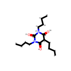 CCCCC1C(=O)N(CCCC)C(=O)N(CCCC)C1=O